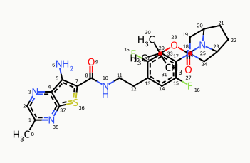 Cc1cnc2c(N)c(C(=O)NCCc3cc(F)c(N4CC5CCC(C4)N5C(=O)OC(C)(C)C)cc3F)sc2n1